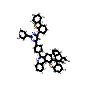 c1ccc(-c2nc(-c3ccc(-c4nc5ccccc5c5c6c(ccc45)C4(c5ccccc5S6)c5ccccc5-c5ccccc54)cc3)cc(-c3cccc4c3sc3ccccc34)n2)cc1